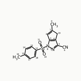 CC1=Cc2c(c(C#N)nn2S(=O)(=O)c2ccc(C)cc2)C1